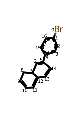 Brc1ccc(C2=CC3CC=CC=C3C=C2)cc1